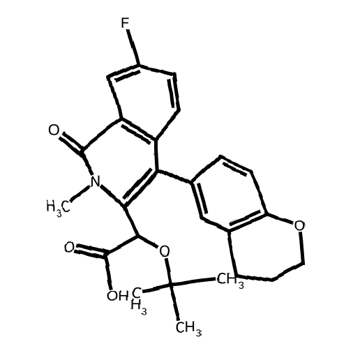 Cn1c(C(OC(C)(C)C)C(=O)O)c(-c2ccc3c(c2)CCCO3)c2ccc(F)cc2c1=O